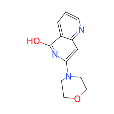 Oc1nc(N2CCOCC2)cc2ncccc12